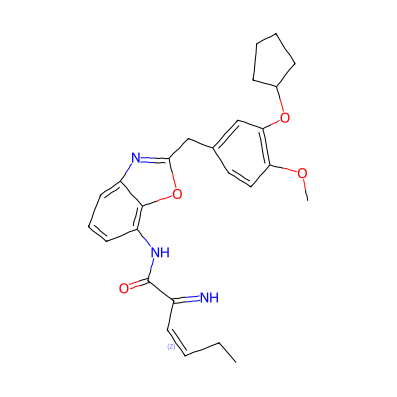 CC/C=C\C(=N)C(=O)Nc1cccc2nc(Cc3ccc(OC)c(OC4CCCC4)c3)oc12